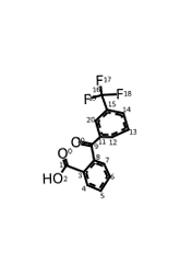 O=C(O)c1ccccc1C(=O)c1cccc(C(F)(F)F)c1